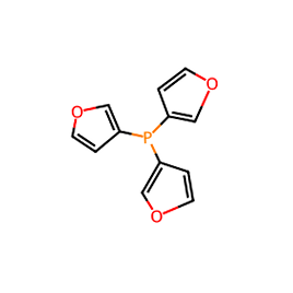 c1cc(P(c2ccoc2)c2ccoc2)co1